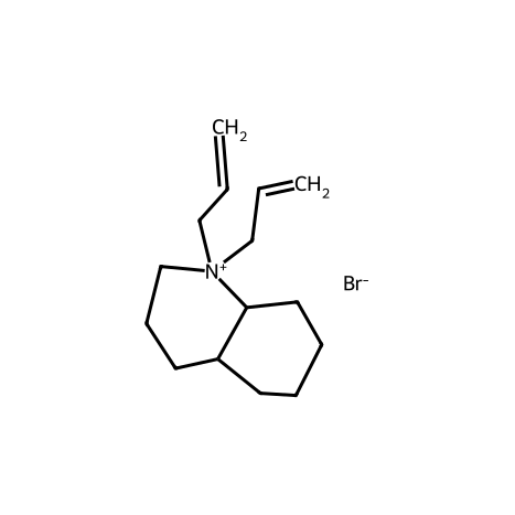 C=CC[N+]1(CC=C)CCCC2CCCCC21.[Br-]